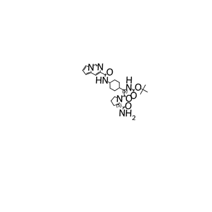 CC(C)(C)OC(=O)N[C@H](C(=O)N1CCC[C@H]1C(N)=O)C1CCC(NC(=O)c2cc3cccn3cn2)CC1